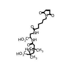 CC(C)(CC(=O)O)CC(C)(C)CC(=O)N[C@H](CNC(=O)CCCCCN1C(=O)C=CC1=O)C(=O)O